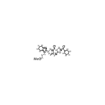 COCCCn1c([C@@H]2CCCN(C(=O)[C@@H]3CN(C(=O)c4ccccc4)C[C@H]3N)C2)nc2ccccc21